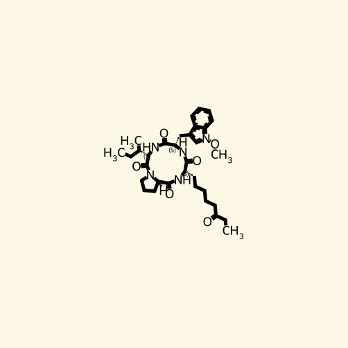 CCC(=O)CCCCC[C@@H]1NC(=O)[C@H]2CCCN2C(=O)[C@H](C(C)CC)NC(=O)[C@H](Cc2cn(OC)c3ccccc23)NC1=O